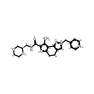 Cc1c(C(=O)NC[C@@H]2COCCO2)oc2c1-c1nn(Cc3ccncc3)cc1CC2